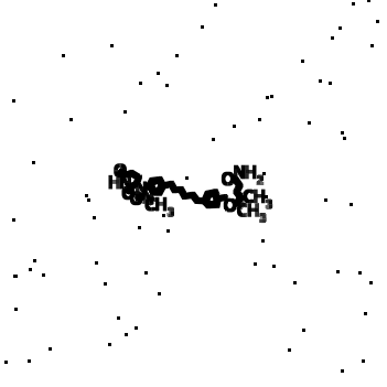 C[C@@H](CCC(N)=O)[C@@H](C)OCc1ccc(CCCCCCc2ccc3c(c2)n(C)c(=O)n3C2CCC(=O)NC2=O)cc1